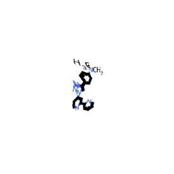 CN(C)c1ccc(-c2cn(-c3ccnc(-c4ccccn4)c3)nn2)cc1